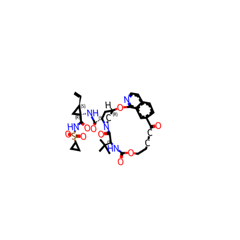 C=C[C@@H]1C[C@]1(NC(=O)[C@@H]1C[C@@H]2CN1C(=O)[C@H](C(C)(C)C)NC(=O)OCCCCC(=O)c1ccc3ccnc(c3c1)O2)C(=O)NS(=O)(=O)C1CC1